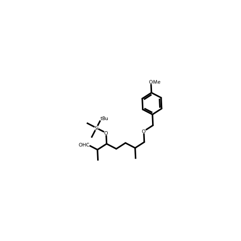 COc1ccc(COCC(C)CCC(O[Si](C)(C)C(C)(C)C)C(C)C=O)cc1